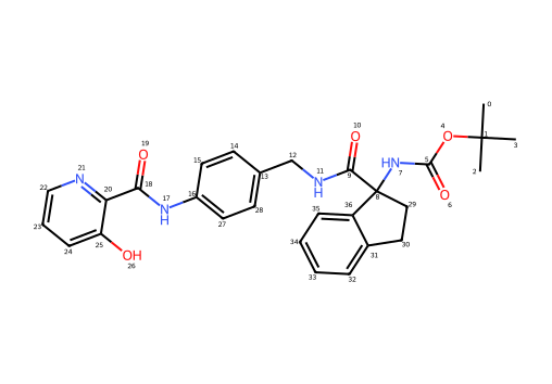 CC(C)(C)OC(=O)NC1(C(=O)NCc2ccc(NC(=O)c3ncccc3O)cc2)CCc2ccccc21